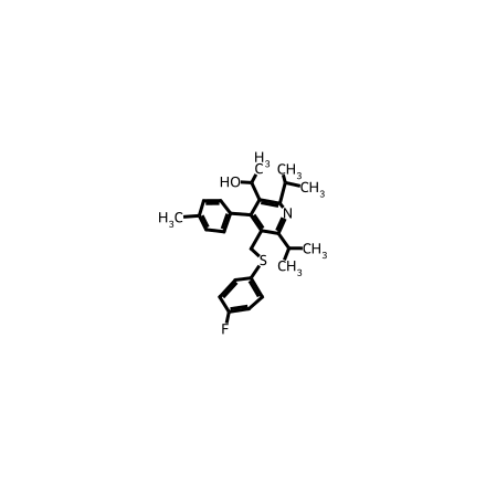 Cc1ccc(-c2c(CSc3ccc(F)cc3)c(C(C)C)nc(C(C)C)c2C(C)O)cc1